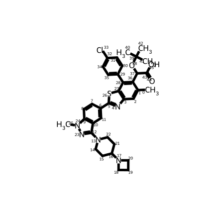 Cc1cc2nc(-c3ccc4c(c3)c(N3CCC(N5CCC5)CC3)nn4C)sc2c(-c2ccc(Cl)cc2)c1C(OC(C)(C)C)C(=O)O